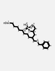 CCCCCCCCCCCCCCCCCCC(COCc1ccccc1)CC(CBr)OP(=O)(O)O